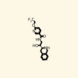 O=C(NCC(O)[C@@H]1Cc2ccccc2CN1)c1ccc(OCC(F)(F)F)nc1